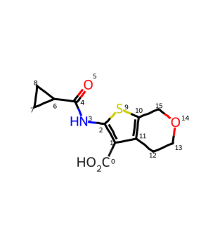 O=C(O)c1c(NC(=O)C2CC2)sc2c1CCOC2